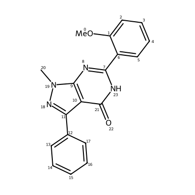 COc1ccccc1-c1nc2c(c(-c3ccccc3)nn2C)c(=O)[nH]1